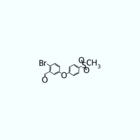 CS(=O)(=O)c1ccc(Oc2ccc(Br)c(C=O)c2)cc1